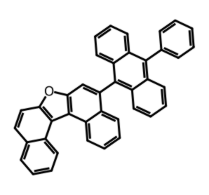 c1ccc(-c2c3ccccc3c(-c3cc4oc5ccc6ccccc6c5c4c4ccccc34)c3ccccc23)cc1